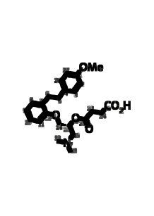 COc1ccc(CCc2ccccc2OC[C@@H](CN(C)C)OC(=O)CCC(=O)O)cc1